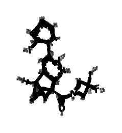 CC1(C)[C@@H]2CC[C@@]1(C(=O)N1CC(F)(F)C1)c1nnc(-c3ccccc3F)cc12